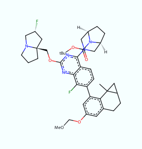 COCOc1cc2c(c(-c3ccc4c(N5C[C@H]6CC[C@@H](C5)N6C(=O)OC(C)(C)C)nc(OC[C@@]56CCCN5C[C@H](F)C6)nc4c3F)c1)C1(C)CC1CC2